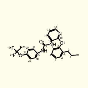 CCCc1ccccc1Oc1ncccc1NC(=O)Nc1ccc(OC(F)(F)F)cc1